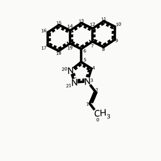 C/C=C/n1cc(-c2c3ccccc3cc3ccccc23)nn1